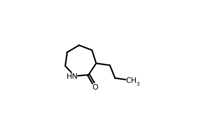 CCCC1CCCCNC1=O